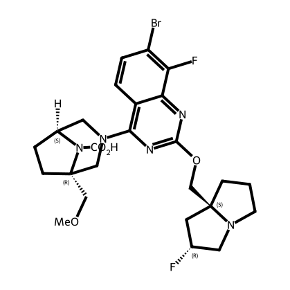 COC[C@@]12CC[C@@H](CN(c3nc(OC[C@@]45CCCN4C[C@H](F)C5)nc4c(F)c(Br)ccc34)C1)N2C(=O)O